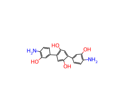 Nc1ccc(-c2cc(O)c(-c3ccc(N)c(O)c3)cc2O)cc1O